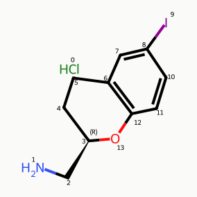 Cl.NC[C@H]1CCc2cc(I)ccc2O1